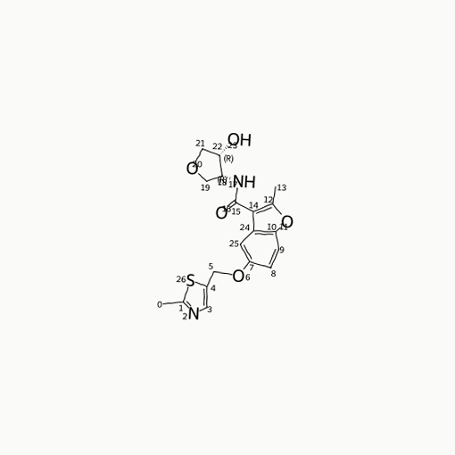 Cc1ncc(COc2ccc3oc(C)c(C(=O)N[C@@H]4COC[C@@H]4O)c3c2)s1